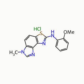 COc1ccccc1Nc1nc2c(ccc3c2ncn3C)s1.Cl